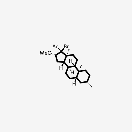 CO[C@H]1C[C@H]2[C@@H]3CC[C@H]4C[C@@H](C)CC[C@]4(C)[C@H]3CC[C@]2(C)[C@@]1(Br)C(C)=O